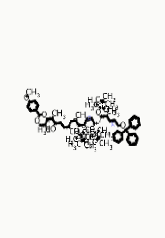 COc1ccc(C2OC[C@H](C)[C@@H]([C@@H](C)[C@H](O)CC[C@H](C)C[C@@H](C)[C@@H](O[Si](C)(C)C(C)(C)C)[C@@H](C)/C=C\[C@H](C[C@H](O[Si](C)(C)C(C)(C)C)[C@@H](C)/C=C/COC(c3ccccc3)(c3ccccc3)c3ccccc3)O[Si](C)(C)C(C)(C)C)O2)cc1